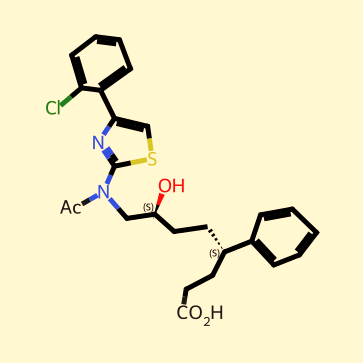 CC(=O)N(C[C@@H](O)CC[C@@H](CCC(=O)O)c1ccccc1)c1nc(-c2ccccc2Cl)cs1